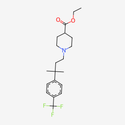 CCOC(=O)C1CCN(CCC(C)(C)c2ccc(C(F)(F)F)cc2)CC1